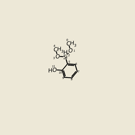 CO[SiH](OC)c1ccccc1O